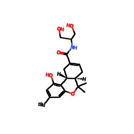 CC(C)(C)c1cc(O)c2c(c1)OC(C)(C)[C@@H]1CC=C(C(=O)NC(CO)CO)C[C@@H]21